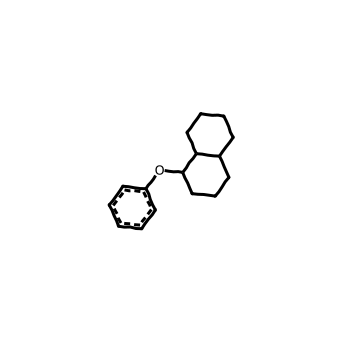 c1ccc(OC2CCCC3CCCCC32)cc1